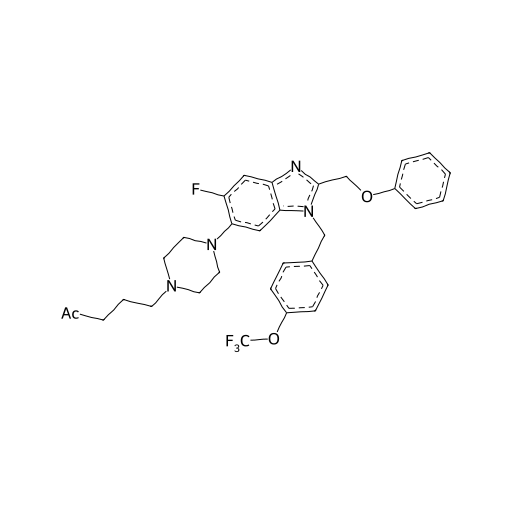 CC(=O)CCCN1CCN(c2cc3c(cc2F)nc(COc2ccccc2)n3Cc2ccc(OC(F)(F)F)cc2)CC1